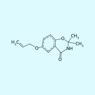 C=CCOc1ccc2c(c1)C(=O)NC(C)(C)O2